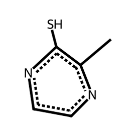 Cc1nccnc1S